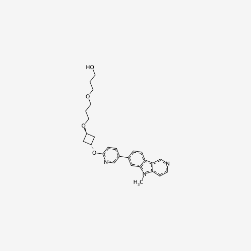 Cn1c2ccncc2c2ccc(-c3ccc(O[C@H]4C[C@H](OCCCOCCCO)C4)nc3)cc21